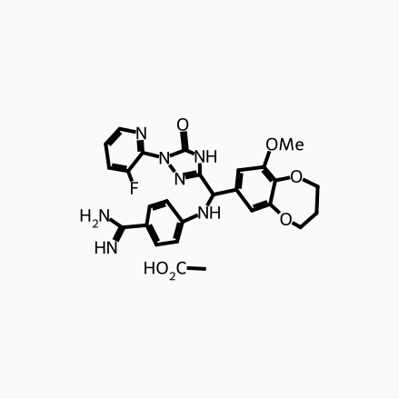 CC(=O)O.COc1cc(C(Nc2ccc(C(=N)N)cc2)c2nn(-c3ncccc3F)c(=O)[nH]2)cc2c1OCCCO2